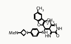 CNC1CN(c2ccc(N/C(=C3\C(=N)C(=O)NN=C3N)c3oc4ccc(C)cc4c3C)cc2)C1